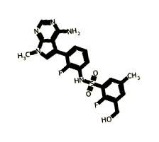 Cc1cc(CO)c(F)c(S(=O)(=O)Nc2cccc(-c3cn(C)c4ncnc(N)c34)c2F)c1